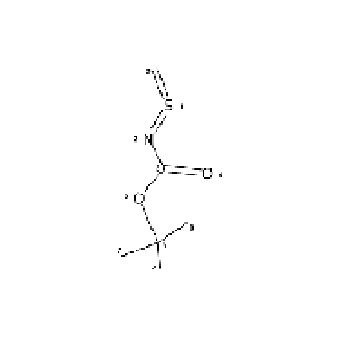 C=S=NC(=O)OC(C)(C)C